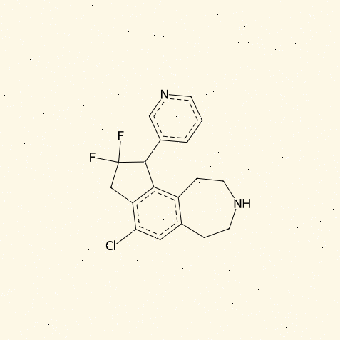 FC1(F)Cc2c(Cl)cc3c(c2C1c1cccnc1)CCNCC3